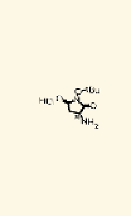 CC(C)(C)ON1C(=O)C[C@H](N)C1=O.Cl